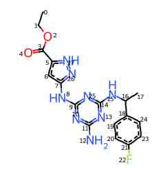 CCOC(=O)c1cc(Nc2nc(N)nc(NC(C)c3ccc(F)cc3)n2)n[nH]1